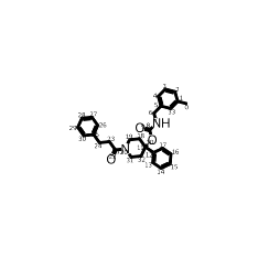 Cc1cccc(CNC(=O)OC2(c3ccccc3)CCN(C(=O)CCc3ccccc3)CC2)c1